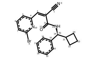 N#CC(=Cc1cccc(Br)n1)C(=O)N[C@H](c1ccccc1)C1CCC1